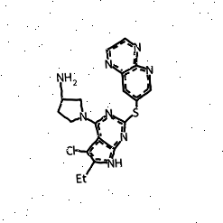 CCc1[nH]c2nc(Sc3cnc4nccnc4c3)nc(N3CCC(N)C3)c2c1Cl